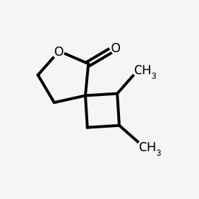 CC1CC2(CCOC2=O)C1C